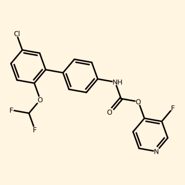 O=C(Nc1ccc(-c2cc(Cl)ccc2OC(F)F)cc1)Oc1ccncc1F